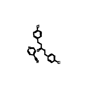 N#Cc1ccncc1.O=C(CCc1ccc(Cl)cc1)CCc1ccc(Cl)cc1